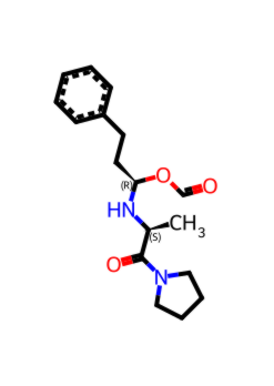 C[C@H](N[C@@H](CCc1ccccc1)OC=O)C(=O)N1CCCC1